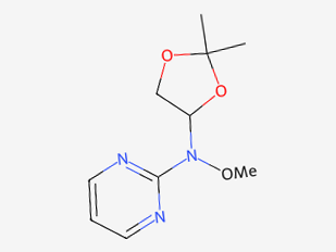 CON(c1ncccn1)C1COC(C)(C)O1